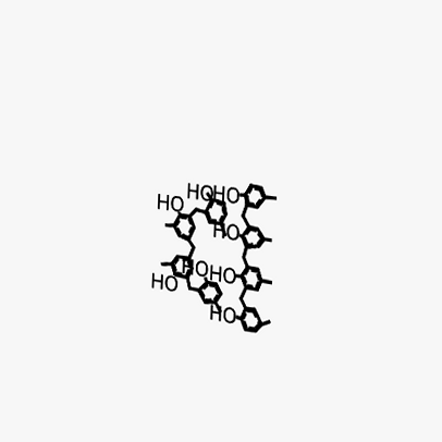 Cc1ccc(O)c(Cc2cc(C)cc(Cc3cc(C)cc(Cc4cc(C)ccc4O)c3O)c2O)c1.Cc1ccc(O)c(Cc2cc(Cc3cc(C)c(O)c(Cc4cc(C)ccc4O)c3)cc(C)c2O)c1